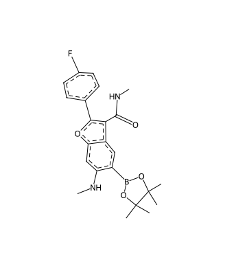 CNC(=O)c1c(-c2ccc(F)cc2)oc2cc(NC)c(B3OC(C)(C)C(C)(C)O3)cc12